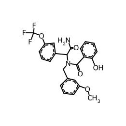 COc1cccc(CN(C(=O)c2ccccc2O)C(C(N)=O)c2cccc(OC(F)(F)F)c2)c1